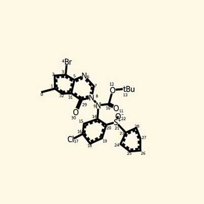 Cc1cc(Br)c2ncn(N(C(=O)OC(C)(C)C)c3cc(Cl)ccc3[S+]([O-])c3ccccc3)c(=O)c2c1